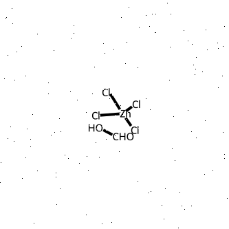 O=CO.[Cl][Zn]([Cl])([Cl])[Cl]